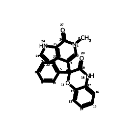 Cn1cc(C2(c3ccccc3)Oc3ccccc3NC2=O)c2cc[nH]c2c1=O